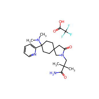 CN(C)C1(c2ccccn2)CCC2(CC1)CC(=O)N(CC(C)(C)C(N)=O)C2.O=C(O)C(F)(F)F